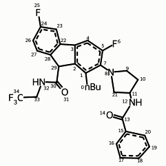 CCCCc1c2c(cc(F)c1N1CCC(NC(=O)c3ccccc3)C1)-c1cc(F)ccc1C2C(=O)NCC(F)(F)F